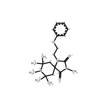 CN1C(=O)N(CCOc2ccccc2)C2(CC(C)(C)N(C)C(C)(C)C2)C1=O